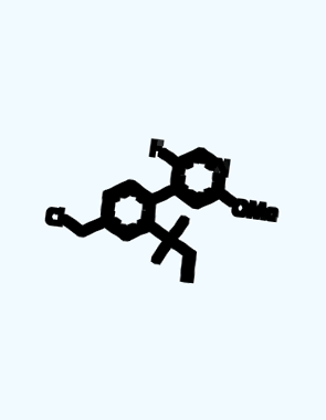 C=CC(C)(C)c1cc(CCl)ccc1-c1cc(OC)ncc1F